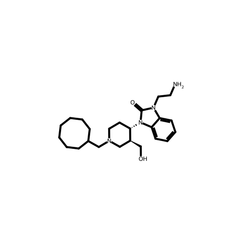 NCCn1c(=O)n([C@H]2CCN(CC3CCCCCCC3)C[C@@H]2CO)c2ccccc21